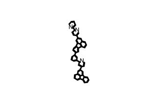 c1ccc(-c2ccc(-c3cc4c5c(cccc5c3)-c3cc(-c5cccc(-c6cc(-c7cc8c9c(cccc9c7)-c7ccccc7-8)ccn6)c5)ccc3-4)cn2)nc1